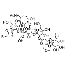 CC(=O)NC1CCC(O)[C@H](O[C@@H]2OC(COCO)[C@@H](O)C(O[C@H]3OC(CO)[C@@H](O)C(O)C3O[C@H]3CC(O)[C@H](O[C@@H]4OC(C)C(O)C(O)C4O)C(CO)O3)C2O)C(CO)O[C@H]1O[C@@H]1C(CO)O[C@@H](NC(=O)CBr)C(NC(C)=O)C1O